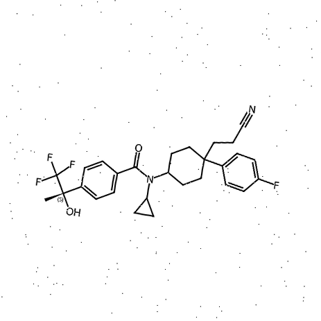 C[C@](O)(c1ccc(C(=O)N(C2CC2)C2CCC(CCC#N)(c3ccc(F)cc3)CC2)cc1)C(F)(F)F